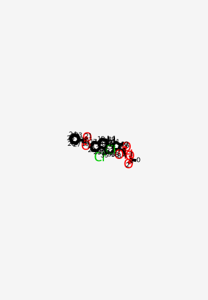 CC(=O)OCC(=O)[C@@]1(O)C(C)C[C@H]2[C@@H]3CC=C4C=C(OC(=O)c5ccccc5)C=C[C@]4(C)[C@@]3(Cl)C(Cl)C[C@@]21C